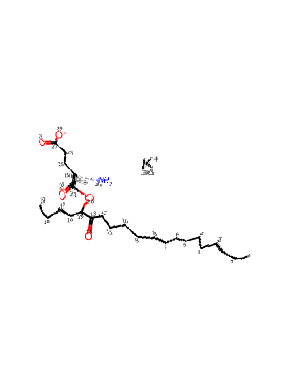 CCCCCCCCCCCCCC(=O)C(CCCC)OC(=O)[C@@H](N)CCC(=O)[O-].[K+]